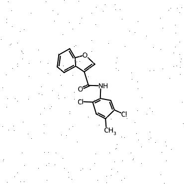 Cc1cc(Cl)c(NC(=O)c2coc3ccccc23)cc1Cl